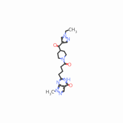 CCn1cc(C(=O)C2CCN(C(=O)CCCc3nc4c(cnn4C)c(=O)[nH]3)CC2)cn1